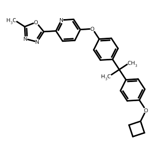 Cc1nnc(-c2ccc(Oc3ccc(C(C)(C)c4ccc(OC5CCC5)cc4)cc3)cn2)o1